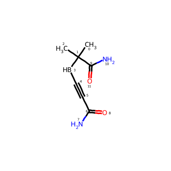 CC(C)(BC#CC(N)=O)C(N)=O